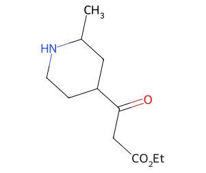 CCOC(=O)CC(=O)C1CCNC(C)C1